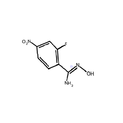 N/C(=N\O)c1ccc([N+](=O)[O-])cc1F